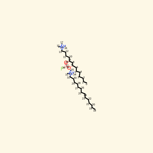 CCCCCCCCCCCCCC[N+](C)(C)C.CCCCCCCCCCCCCC[N+](C)(C)C.[O-]B([O-])F